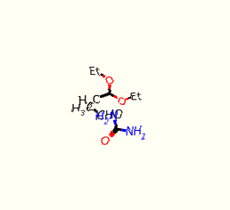 CC=O.CCOC(C)OCC.NC(N)=O